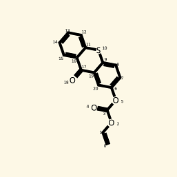 C=COC(=O)Oc1ccc2sc3ccccc3c(=O)c2c1